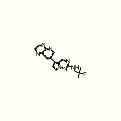 CC(C)(F)CNc1ncc2c(-c3cnc4nccnc4c3)ccn2n1